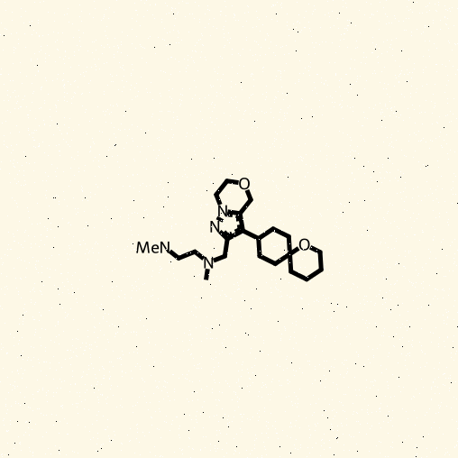 CNCCN(C)Cc1nn2c(c1C1CCC3(CCCCO3)CC1)COCC2